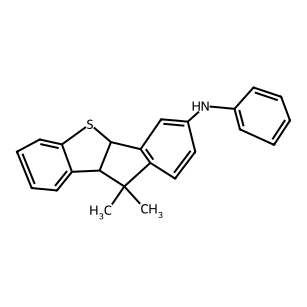 CC1(C)c2ccc(Nc3ccccc3)cc2C2Sc3ccccc3C21